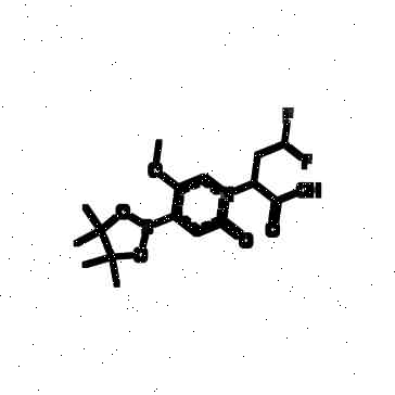 COc1cn(C(CC(F)F)C(=O)O)c(=O)cc1B1OC(C)(C)C(C)(C)O1